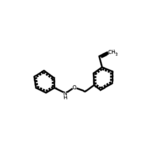 C=Cc1cccc(CONc2ccccc2)c1